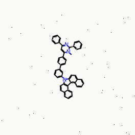 CN1C(c2ccc(-c3cccc(-n4c5ccc6ccccc6c5c5c6ccccc6ccc54)c3)cc2)=CC(c2ccccc2)=NC1c1ccccc1